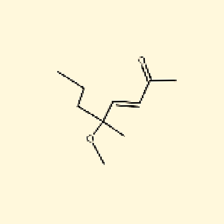 CCCC(C)(C=CC(C)=O)OC